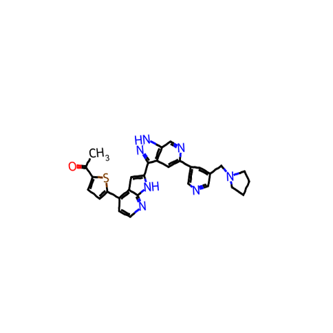 CC(=O)c1ccc(-c2ccnc3[nH]c(-c4n[nH]c5cnc(-c6cncc(CN7CCCC7)c6)cc45)cc23)s1